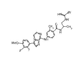 COc1ccc(-c2cnc3c(Nc4ccc(C(=O)NC(C)CNC(=N)C(C)C)c(C)c4)nccn23)c(F)c1F